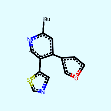 CCC(C)c1cc(-c2ccoc2)c(-c2cncs2)[c]n1